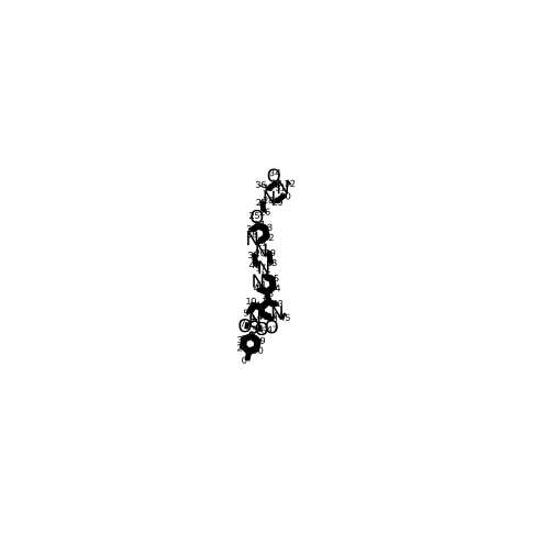 Cc1ccc(S(=O)(=O)n2ccc3c(-c4ccc(N5CCN(c6ccc(OCCN7CCN(C)C(=O)[C@H]7C)cn6)CC5)nc4)cn(C)c(=O)c32)cc1